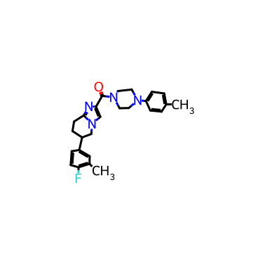 Cc1ccc(N2CCN(C(=O)c3cn4c(n3)CCC(c3ccc(F)c(C)c3)C4)CC2)cc1